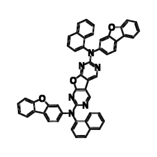 c1ccc2c(N(c3ccc4c(c3)oc3ccccc34)c3ncc4c(n3)oc3nc(N(c5ccc6c(c5)oc5ccccc56)c5cccc6ccccc56)ncc34)cccc2c1